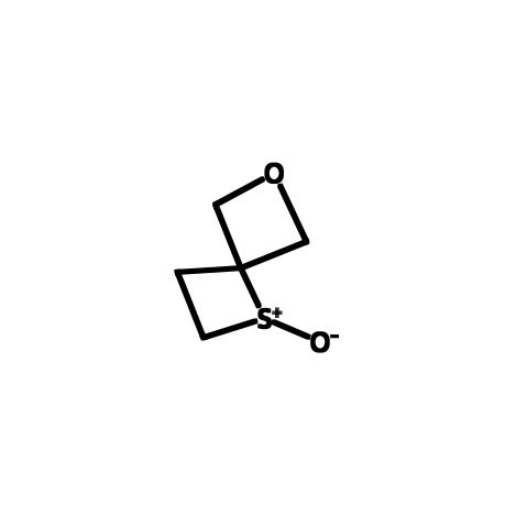 [O-][S+]1CCC12COC2